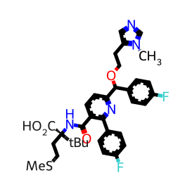 CSCC[C@@](NC(=O)c1ccc(C(OCCc2cncn2C)c2ccc(F)cc2)nc1-c1ccc(F)cc1)(C(=O)O)C(C)(C)C